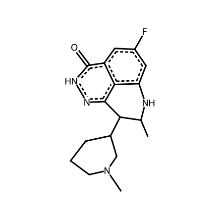 CC1Nc2cc(F)cc3c(=O)[nH]nc(c23)C1C1CCCN(C)C1